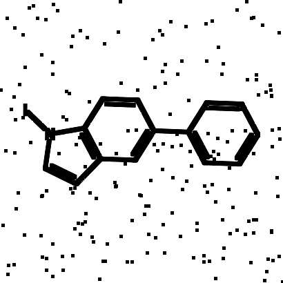 In1ccc2cc(-c3ccccc3)ccc21